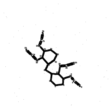 S=C=NC1CCCC(CC2CCCC(N=C=S)C2N=C=S)C1N=C=S